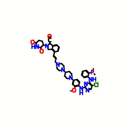 COc1cc(N2CCC(N3CCN(CC=Cc4cccc5c4CN(C4CCC(=O)NC4=O)C5=C=O)CC3)CC2)ccc1Nc1ncc(Cl)c(Nc2ccccc2P(C)C)n1